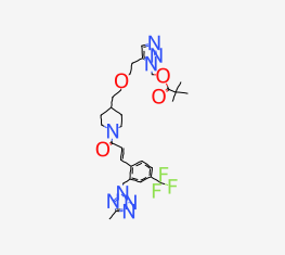 Cc1nnn(Cc2cc(C(F)(F)F)ccc2/C=C/C(=O)N2CCC(CCOCCc3cnnn3COC(=O)C(C)(C)C)CC2)n1